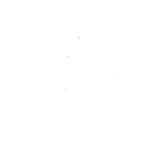 Cc1ccc2c(c1)c(-n1c(=O)[nH]c3cscc3c1=O)c(C(=O)O)n2Cc1ccccc1C